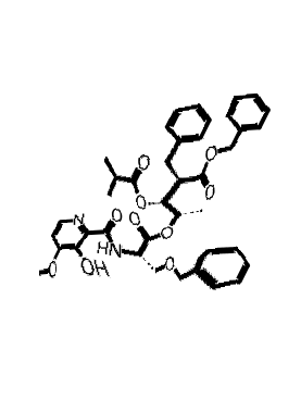 COc1ccnc(C(=O)N[C@@H](COCc2ccccc2)C(=O)O[C@@H](C)[C@H](OC(=O)C(C)C)[C@@H](Cc2ccccc2)C(=O)OCc2ccccc2)c1O